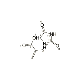 C=C(C)C(=O)O.O=C1CNC(=O)N1